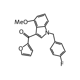 COc1cccc2c1c(C(=O)c1ccco1)cn2Cc1ccc(F)cc1